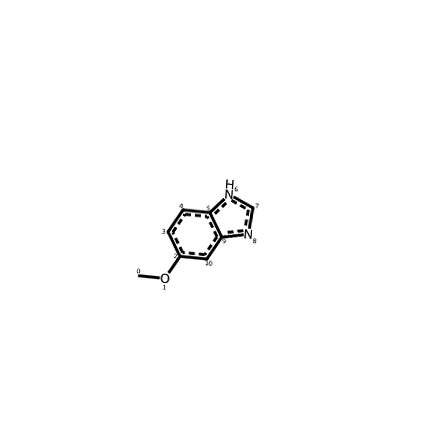 COc1ccc2[nH]cnc2c1